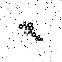 COC(=O)c1ccc(N(C)c2ccc3c(n2)N(C(=O)Nc2ccccc2)CCO3)cc1